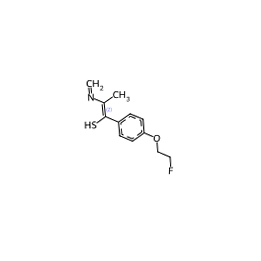 C=N/C(C)=C(\S)c1ccc(OCCF)cc1